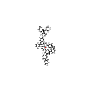 C1=c2oc3c(-c4ccccc4)nc(-c4cccc5oc6ccc(-c7ccc8c(c7)c7cc(-c9ccc%10c(c9)c9ccccc9n%10-c9ccccc9)ccc7n8-c7ccccc7)cc6c45)nc3c2=CC(c2ccccc2)C1